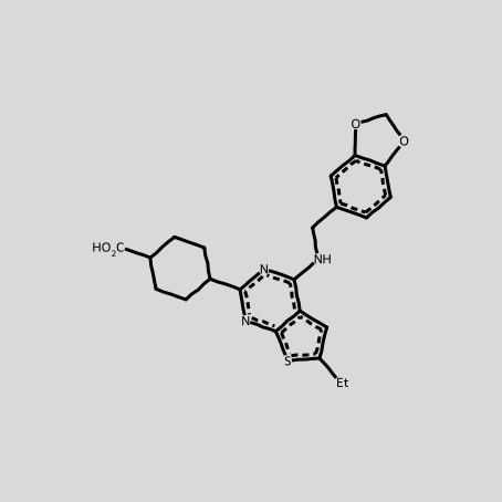 CCc1cc2c(NCc3ccc4c(c3)OCO4)nc(C3CCC(C(=O)O)CC3)nc2s1